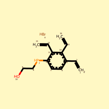 Br.C=Cc1ccc(PCCO)c(C=C)c1C=C